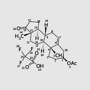 CC(=O)O[C@H]1CC[C@@]2(C)C(=CC[C@@H]3[C@@H]2CC[C@]2(C)C(=O)CC[C@@H]32)C1.O=S(=O)(O)C(F)(F)F